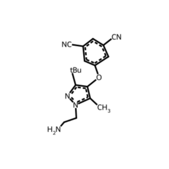 Cc1c(Oc2cc(C#N)cc(C#N)c2)c(C(C)(C)C)nn1CCN